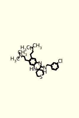 CN(C)CCc1cc2c(cc1CCN(C)C)NC1(CCSCC1)C(NCc1cccc(Cl)c1)=N2